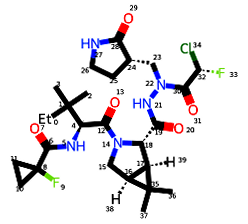 CCC(C)(C)[C@H](NC(=O)C1(F)CC1)C(=O)N1C[C@H]2[C@@H]([C@H]1C(=O)NN(C[C@@H]1CCNC1=O)C(=O)[C@@H](F)Cl)C2(C)C